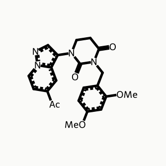 COc1ccc(CN2C(=O)CCN(c3cnn4ccc(C(C)=O)cc34)C2=O)c(OC)c1